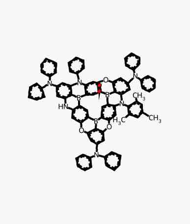 Cc1cc(C)c(N2c3cc4c(cc3B3c5ccccc5Oc5cc(N(c6ccccc6)c6ccccc6)cc2c53)B2c3cc5c(cc3Oc3cc(N(c6ccccc6)c6ccccc6)cc(c32)O4)Nc2cc(N(c3ccccc3)c3ccccc3)cc3c2B5c2ccccc2N3c2ccccc2)c(C)c1